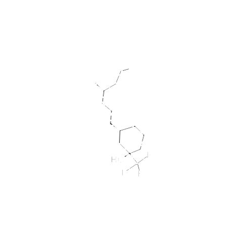 CCC[C@H](C)CCC[C@H]1CCC[C@](O)(C(F)(F)F)C1